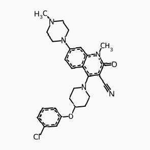 CN1CCN(c2ccc3c(N4CCC(Oc5cccc(Cl)c5)CC4)c(C#N)c(=O)n(C)c3c2)CC1